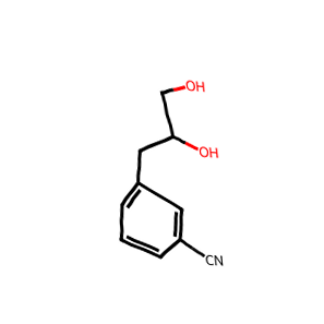 N#Cc1cccc(CC(O)CO)c1